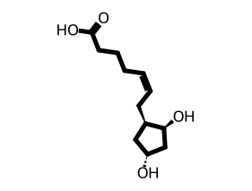 O=C(O)CCC/C=C\C[C@@H]1C[C@@H](O)C[C@@H]1O